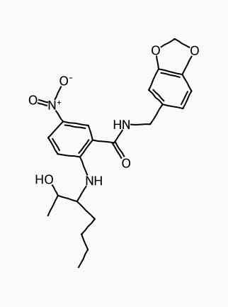 CCCCC(Nc1ccc([N+](=O)[O-])cc1C(=O)NCc1ccc2c(c1)OCO2)C(C)O